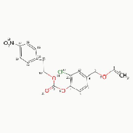 C=COCc1ccc(OC(=O)OCCc2ccc([N+](=O)[O-])cc2)c(Cl)c1